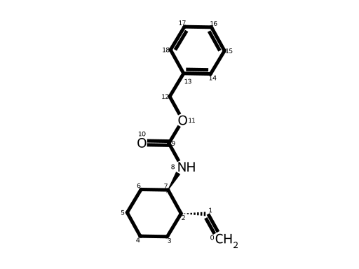 C=C[C@@H]1CCCC[C@H]1NC(=O)OCc1ccccc1